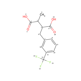 CC(C(=O)O)C(Cc1cccc(C(F)(F)F)c1)C(=O)O